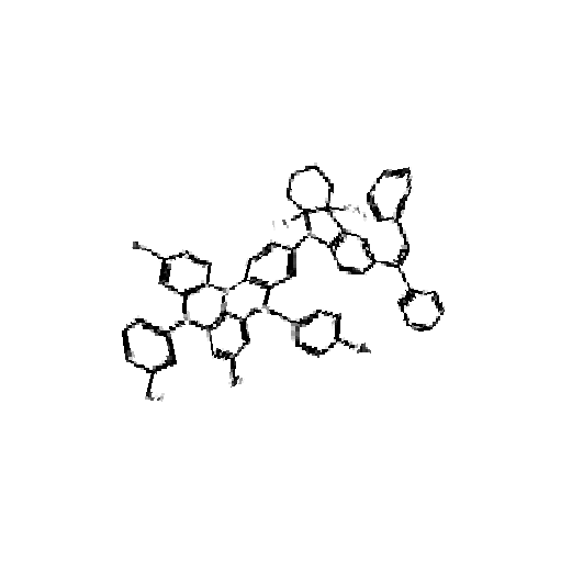 CC(C)(C)c1ccc(N2c3cc(N4c5ccc(/C(=C\c6ccccc6)c6ccccc6)cc5C5(C)CCCCC45C)ccc3B3c4ccc(C(C)(C)C)cc4N(c4cccc(C(C)(C)C)c4)c4cc(C(C)(C)C)cc2c43)cc1